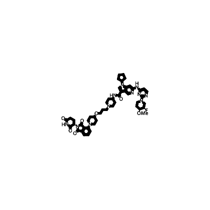 CO[C@@H]1CCN(c2nccc(Nc3cc4c(cn3)c(C(=O)NC3CCN(CCCOC5CCN(c6cccc7c6C(=O)N([C@H]6CCC(=O)NC6=O)C7=O)CC5)CC3)cn4C3CCCC3)n2)C[C@@H]1F